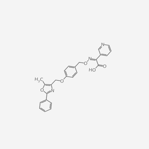 Cc1oc(-c2ccccc2)nc1COc1ccc(CO/N=C(\C(=O)O)c2cccnc2)cc1